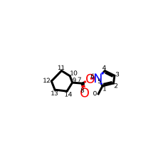 Cc1cccn1OC(=O)C1CCCCC1